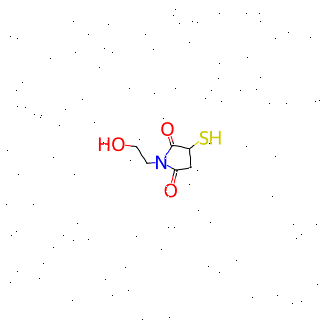 O=C1CC(S)C(=O)N1CCO